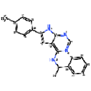 CC(Nc1ncnc2[nH]c(-c3ccc([N+](=O)[O-])cc3)cc12)c1ccccc1